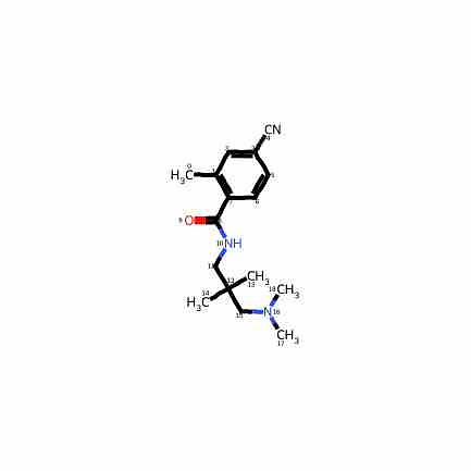 Cc1cc(C#N)ccc1C(=O)NCC(C)(C)CN(C)C